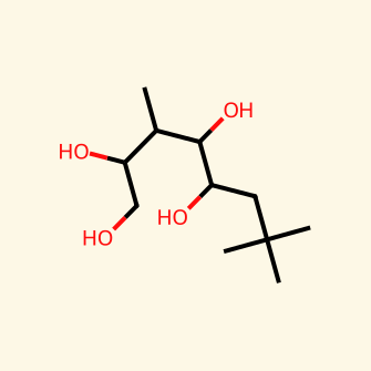 CC(C(O)CO)C(O)C(O)CC(C)(C)C